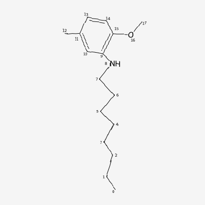 CCCCCCCCNc1cc(C)ccc1OC